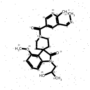 C/N=C\c1cc(C(=O)N2CCC3(CC2)C(=O)N(CC(C)O)c2cccc(OC)c23)cnc1C